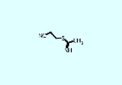 CC(=N)SCCC#N